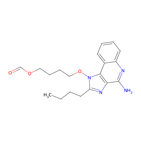 CCCCc1nc2c(N)nc3ccccc3c2n1OCCCCOC=O